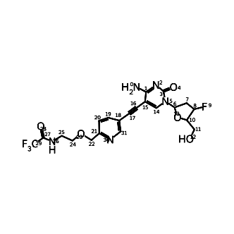 Nc1nc(=O)n(C2CC(F)C(CO)O2)cc1C#Cc1ccc(COCCNC(=O)C(F)(F)F)nc1